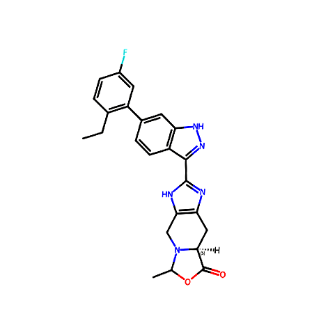 CCc1ccc(F)cc1-c1ccc2c(-c3nc4c([nH]3)CN3C(C)OC(=O)[C@@H]3C4)n[nH]c2c1